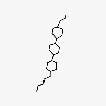 CCCC1CCC(C2CCC(C3CCC(C/C=C/CF)CC3)CC2)CC1